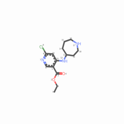 CCOC(=O)c1cnc(Cl)cc1NC1CCCNCC1